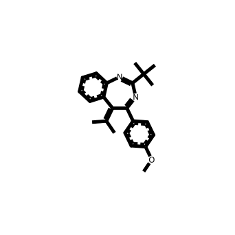 COc1ccc(C2=NC(C(C)(C)C)=Nc3ccccc3C2=C(C)C)cc1